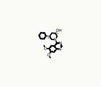 COc1cc2ncnc(N3C[C@@H](O)C[C@H](c4ccccc4)C3)c2cc1OC